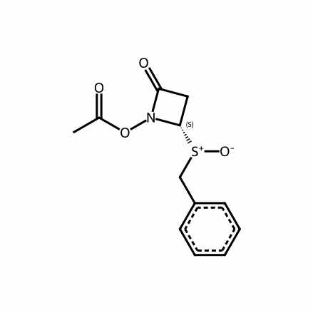 CC(=O)ON1C(=O)C[C@@H]1[S+]([O-])Cc1ccccc1